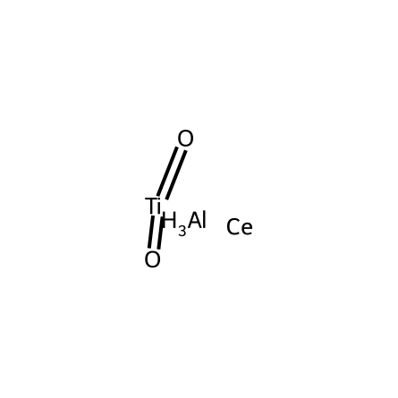 [AlH3].[Ce].[O]=[Ti]=[O]